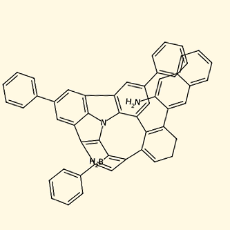 Bc1c2cc(-c3ccccc3)c3c4cc(-c5ccccc5)cc5c6cc(-c7ccccc7)cc(c7c2=CCCC=7c2cc7ccccc7cc2N)c6n(c13)c54